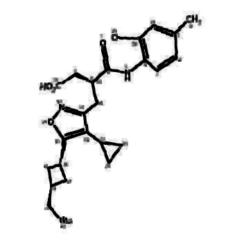 Cc1ccc(NC(=O)[C@H](CC(=O)O)Cc2noc([C@H]3C[C@@H](CC(C)(C)C)C3)c2C2CC2)c(Cl)c1